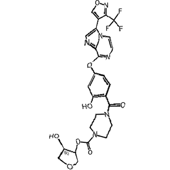 O=C(OC1COC[C@H]1O)N1CCN(C(=O)c2ccc(Oc3nccn4c(-c5conc5C(F)(F)F)cnc34)cc2O)CC1